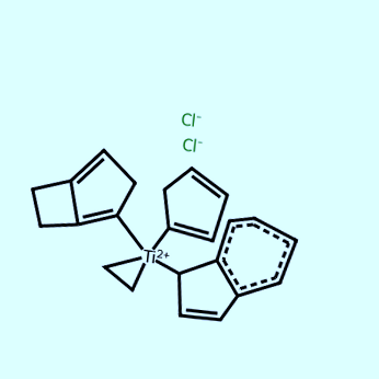 C1=CC[C]([Ti+2]2([C]3=C4CCC4=CC3)([CH]3C=Cc4ccccc43)[CH2][CH2]2)=C1.[Cl-].[Cl-]